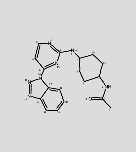 CC(=O)NC1CCC(Nc2nccc(-n3nnc4ccccc43)n2)CC1